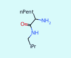 CCCCCC(N)C(=O)NCC(C)C